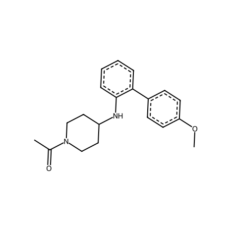 COc1ccc(-c2ccccc2NC2CCN(C(C)=O)CC2)cc1